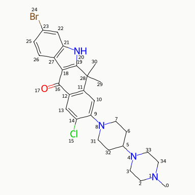 CN1CCN(C2CCN(c3cc4c(cc3Cl)C(=O)c3c([nH]c5cc(Br)ccc35)C4(C)C)CC2)CC1